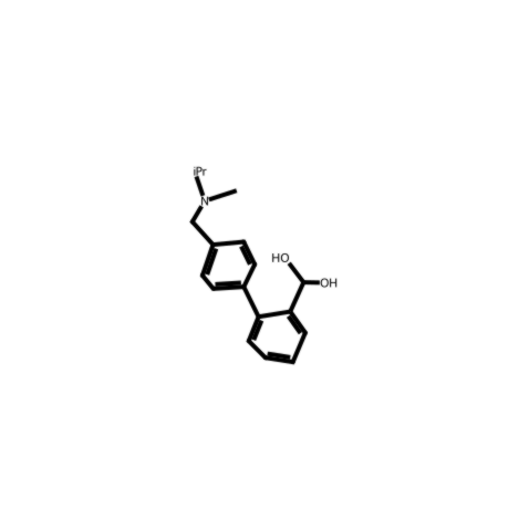 CC(C)N(C)Cc1ccc(-c2ccccc2C(O)O)cc1